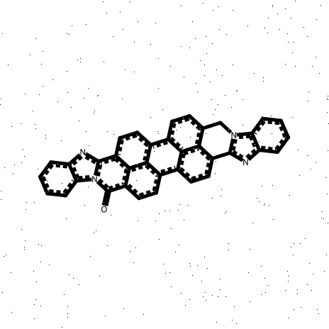 O=c1c2ccc3c4ccc5c6c(ccc(c7ccc(c2c37)c2nc3ccccc3n12)c64)Cn1c-5nc2ccccc21